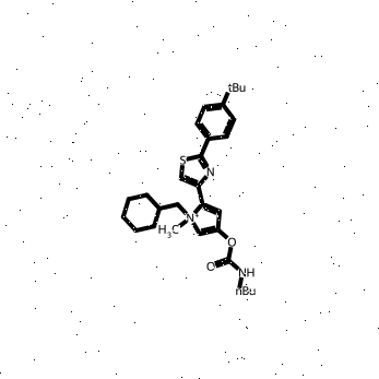 CCCCNC(=O)OC1=C[N+](C)(CC2CCCCC2)C(c2csc(-c3ccc(C(C)(C)C)cc3)n2)=C1